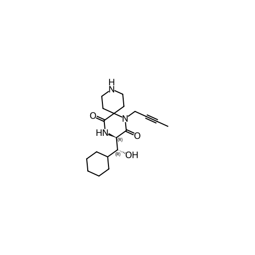 CC#CCN1C(=O)[C@@H]([C@H](O)C2CCCCC2)NC(=O)C12CCNCC2